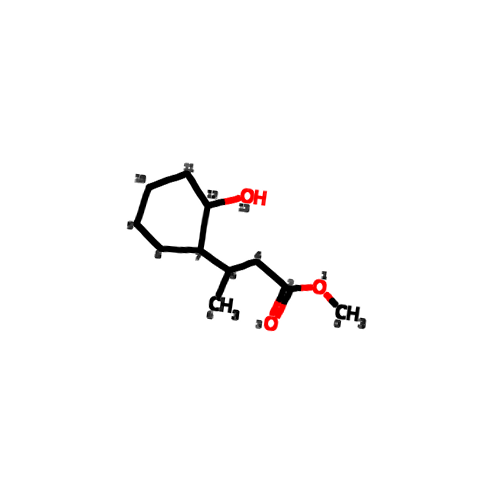 COC(=O)CC(C)C1CCCCC1O